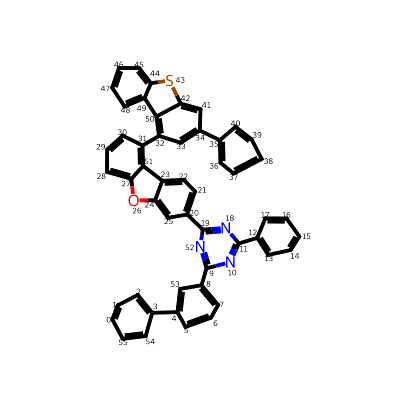 c1ccc(-c2cccc(-c3nc(-c4ccccc4)nc(-c4ccc5c(c4)oc4cccc(-c6cc(-c7ccccc7)cc7sc8ccccc8c67)c45)n3)c2)cc1